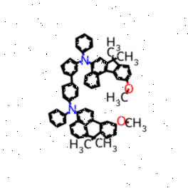 COc1ccc2c(c1)-c1c(cc(N(c3ccccc3)c3cccc(-c4ccc(N(c5ccccc5)c5ccc6c7c(cccc57)C(C)(C)c5ccc(OC)cc5-6)cc4)c3)c3ccccc13)C2(C)C